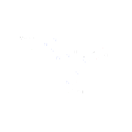 C=C(F)C(=O)N1CCCC1c1ncc(N2C[C@H](CS(C)(=O)=O)[C@H]2C)c2cnc(Nc3ccnc(N4CC[C@@H](OC)[C@@H](F)C4)n3)cc12